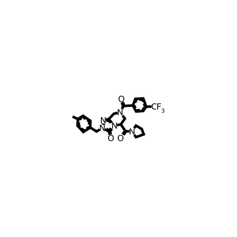 Cc1ccc(Cn2nc3n(c2=O)C(C(=O)N2CCCC2)CN(C(=O)c2ccc(C(F)(F)F)cc2)C3)cc1